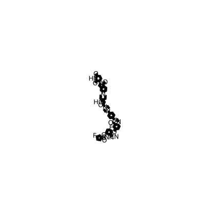 N#Cc1c(NS(=O)(=O)N2CC[C@@H](F)C2)ccc(F)c1Oc1ccc2ncn(-c3ccc(N4CCN(C(=O)CC5(O)CCN(c6ccc7c(c6)CN([C@H]6CCC(=O)NC6=O)C7=O)CC5)CC4)cc3)c(=O)c2c1